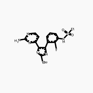 CCS(=O)(=O)Nc1cccc(-c2nc(C(C)(C)C)sc2-c2ccnc(N)n2)c1F